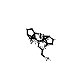 CCCCP(C1CC2CCC1(C)C2(C)C)C1CC2CCC1(C)C2(C)C